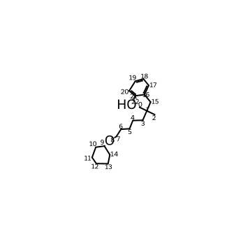 CC(C)(CCCCCOC1CCCCC1)Cc1ccccc1O